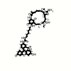 CO[C@H]1/C=C\C=C(/C)C(=O)NC2=CC(=O)C(NCCCCCCNC(=S)Nc3ccc(-c4c5ccc(=O)cc-5oc5cc(O)ccc45)c(C(=O)O)c3)=C(C[C@@H](C)C[C@H](OC)[C@H](O)[C@@H](C)/C=C(\C)[C@@H]1OC(N)=O)C2=O